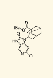 CC(C)(C)OC(=O)C12CC3CC(C1)CC(n1c(=O)[nH]c4cnc(Cl)nc41)(C3)C2